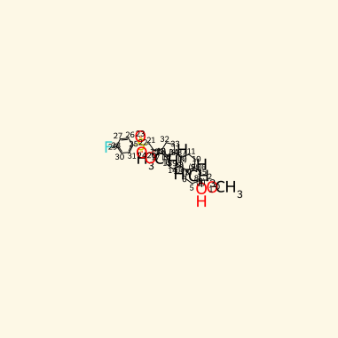 COC[C@@]1(O)CC[C@@]2(C)[C@@H](CC[C@@H]3[C@@H]2CC[C@]2(C)[C@@H](C(=O)CS(=O)(=O)c4ccc(F)cc4)CC[C@@H]32)C1